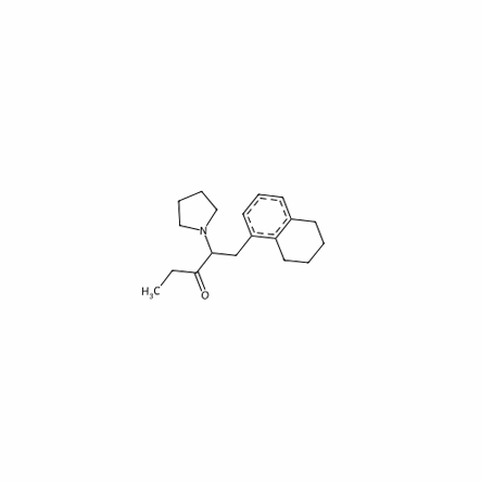 CCC(=O)C(Cc1cccc2c1CCCC2)N1CCCC1